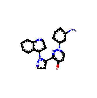 Nc1cccc(-n2ccc(=O)c(-c3ccnn3-c3ccnc4ccccc34)n2)c1